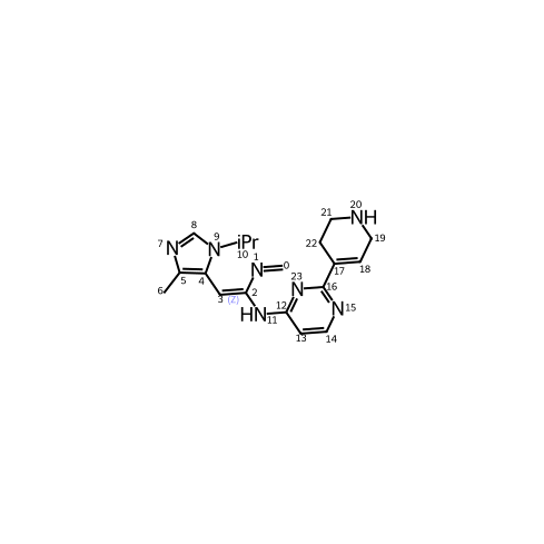 C=N/C(=C\c1c(C)ncn1C(C)C)Nc1ccnc(C2=CCNCC2)n1